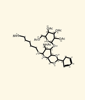 CSCCCCCOC1OC2COC(C3C=CC=CC3)OC2C(OC2OC(COC(C)=O)C(OC(C)=O)C(OC(C)=O)C2OC(C)=O)C1NC(C)=O